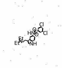 CCN(CC)CCc1c[nH]c2ccc(NS(=O)(=O)c3cc(Cl)cc(Cl)c3)cc12